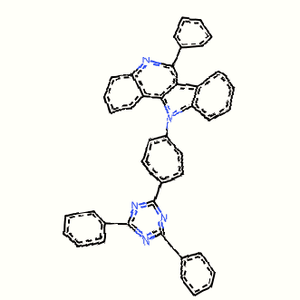 c1ccc(-c2nc(-c3ccccc3)nc(-c3ccc(-n4c5ccccc5c5c(-c6ccccc6)nc6ccccc6c54)cc3)n2)cc1